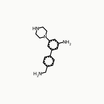 NCc1ccc(-c2cc(N)cc(N3CCNCC3)c2)cc1